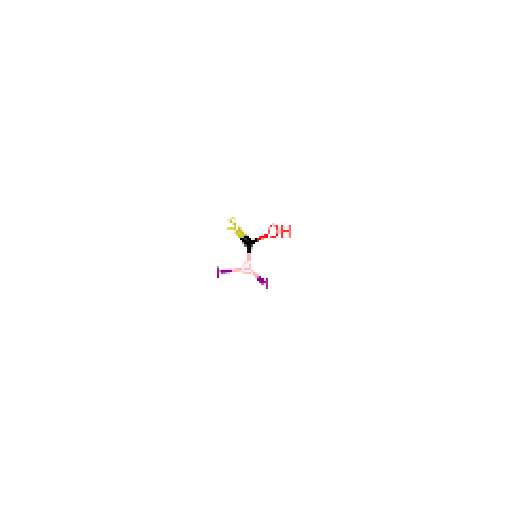 OC(=S)B(I)I